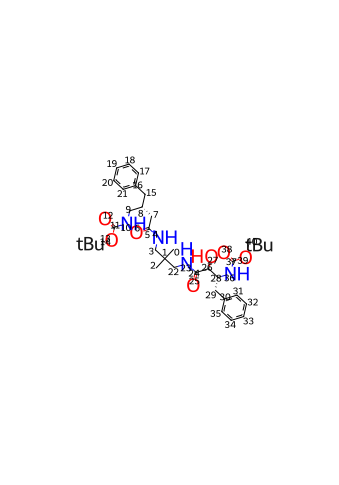 CC(C)(CNC(=O)C[C@H](CNC(=O)OC(C)(C)C)Cc1ccccc1)CNC(=O)[C@@H](O)[C@@H](Cc1ccccc1)NC(=O)OC(C)(C)C